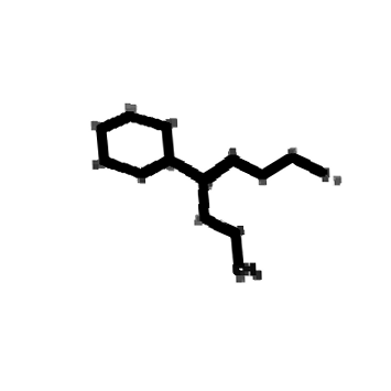 CCCC(CCCI)C1CCCCC1